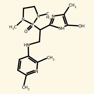 Cc1ccc(NCC(c2nc(C)c(O)[nH]2)P2(=O)N(C)CCN2C)c(C)n1